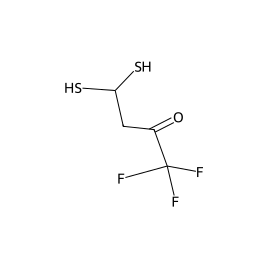 O=C(CC(S)S)C(F)(F)F